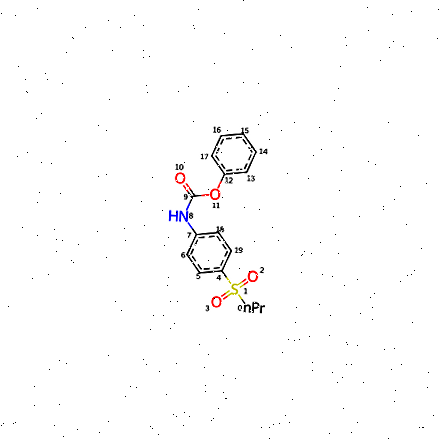 CCCS(=O)(=O)c1ccc(NC(=O)Oc2ccccc2)cc1